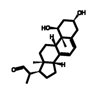 CC(C=O)[C@H]1CC[C@H]2C3=CC=C4C[C@@H](O)C[C@H](O)[C@]4(C)[C@H]3CC[C@]12C